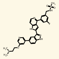 CN(C)CCOc1cncc(-c2ccc3[nH]nc(-c4cc5c(-c6cc(F)cc(CNS(C)(=O)=O)c6)nccc5[nH]4)c3c2)c1